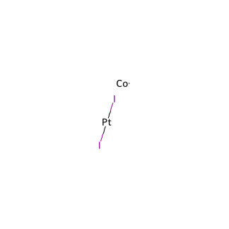 [Co].[I][Pt][I]